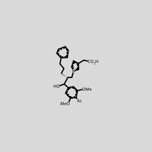 COc1cc(C(O)[C@H](CCCc2ccccc2)Cn2ccc(CC(=O)O)c2)cc(OC)c1C(C)=O